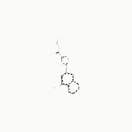 CCOC(=O)c1nc(-c2cc(O)c3ccccc3c2)no1